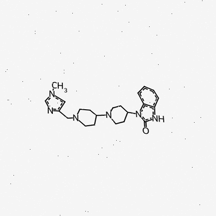 Cn1cnc(CN2CCC(N3CCC(n4c(=O)[nH]c5ccccc54)CC3)CC2)c1